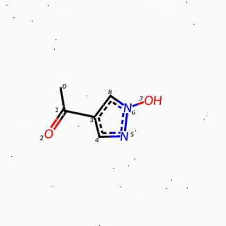 CC(=O)c1cnn(O)c1